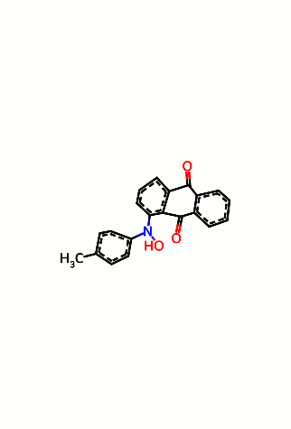 Cc1ccc(N(O)c2cccc3c2C(=O)c2ccccc2C3=O)cc1